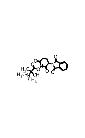 CN(C)C(C)(C)C(=O)ON1C(=O)CCC(N2C(=O)c3ccccc3C2=O)C1=O